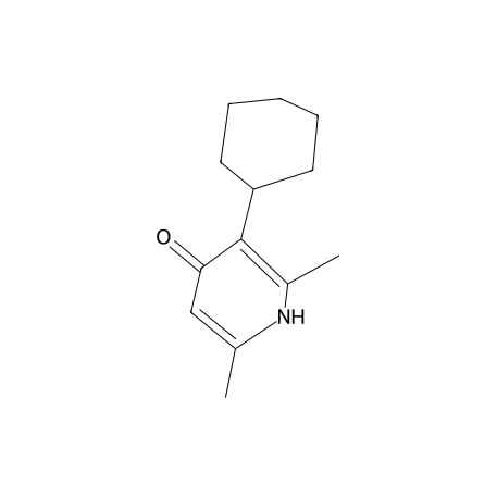 Cc1cc(=O)c(C2CCCCC2)c(C)[nH]1